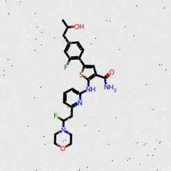 CC(O)Cc1ccc(-c2cc(C(N)=O)c(Nc3cccc(CC(F)N4CCOCC4)n3)s2)c(F)c1